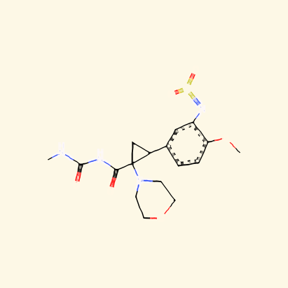 CNC(=O)NC(=O)C1(N2CCOCC2)CC1c1ccc(OC)c(N=S(=O)=O)c1